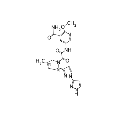 COc1ncc(NC(=O)C(=O)N2C[C@@H](C)CC[C@@H]2c2ccn(-c3cc[nH]n3)n2)cc1C(N)=O